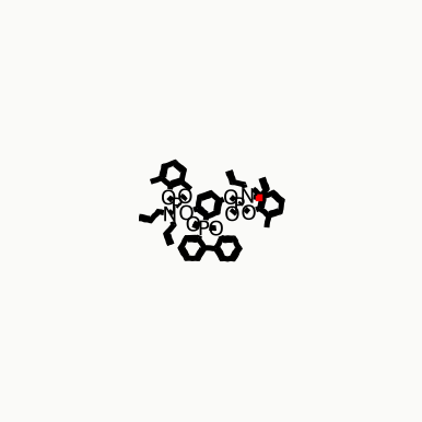 C=CCN(CC=C)P(=O)(Oc1ccc(OP(=O)(Oc2c(C)cccc2C)N(CC=C)CC=C)c(P2(=O)Oc3ccccc3-c3ccccc32)c1)Oc1c(C)cccc1C